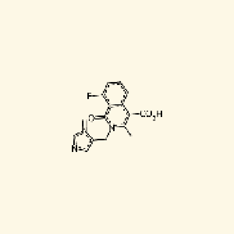 Cc1c(C(=O)O)c2cccc(F)c2c(=O)n1Cc1cnc[nH]1